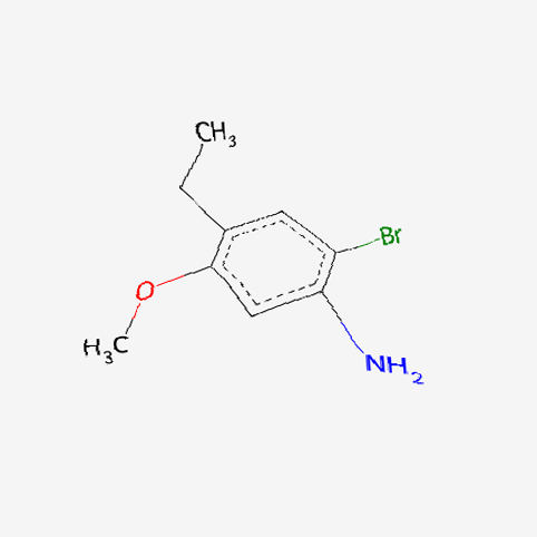 CCc1cc(Br)c(N)cc1OC